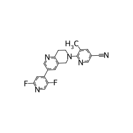 Cc1cc(C#N)cnc1N1CCc2ncc(-c3cc(F)ncc3F)cc2C1